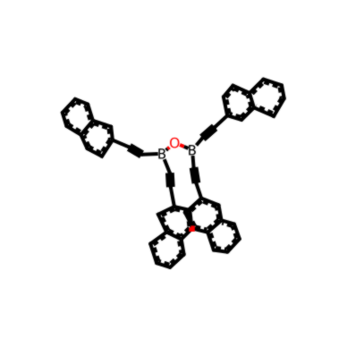 C(#Cc1ccc2ccccc2c1)B(C#Cc1ccc2ccccc2c1)OB(C#Cc1ccc2ccccc2c1)C#Cc1ccc2ccccc2c1